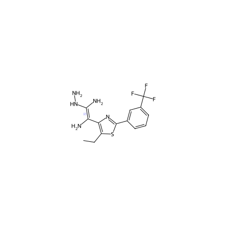 CCc1sc(-c2cccc(C(F)(F)F)c2)nc1/C(N)=C(\N)NN